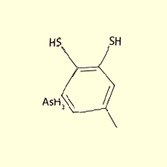 Cc1ccc(S)c(S)c1.[AsH3]